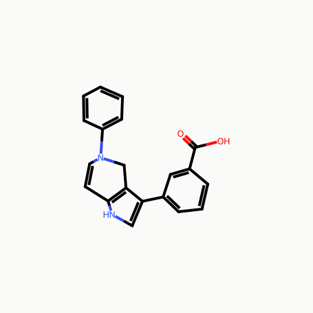 O=C(O)c1cccc(-c2c[nH]c3c2CN(c2ccccc2)C=C3)c1